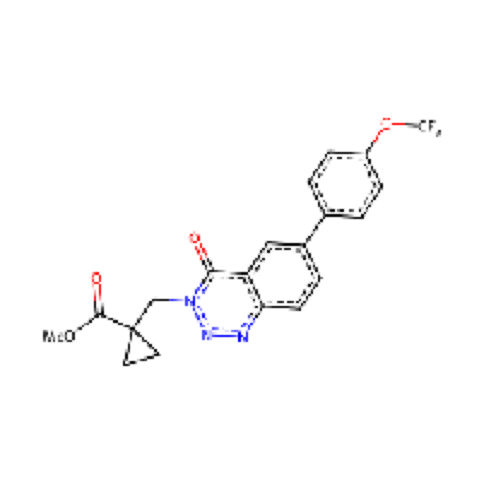 COC(=O)C1(Cn2nnc3ccc(-c4ccc(OC(F)(F)F)cc4)cc3c2=O)CC1